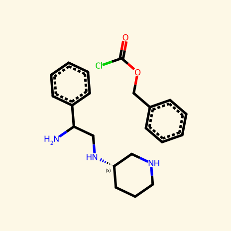 NC(CN[C@H]1CCCNC1)c1ccccc1.O=C(Cl)OCc1ccccc1